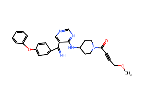 COCC#CC(=O)N1CCC(Nc2ncncc2C(=N)c2ccc(Oc3ccccc3)cc2)CC1